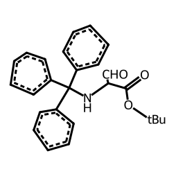 CC(C)(C)OC(=O)C(C=O)NC(c1ccccc1)(c1ccccc1)c1ccccc1